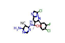 C[C@](O)(Nc1ncnc(N)c1C#N)c1cc2ncc(Cl)n2nc1-c1ccc(Cl)c(F)c1